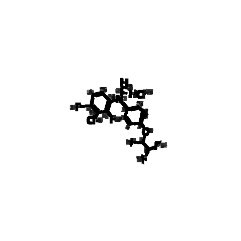 CN(c1ccc(OC(F)C(F)F)nc1)c1ccc(F)c(Cl)c1F.Cl